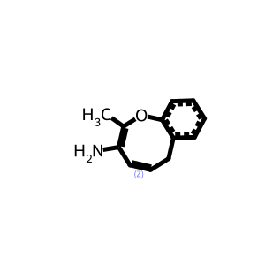 CC1=C(N)/C=C\Cc2ccccc2O1